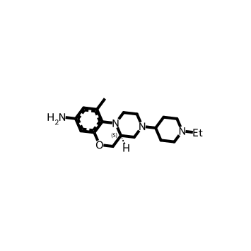 CCN1CCC(N2CCN3c4c(C)cc(N)cc4OC[C@@H]3C2)CC1